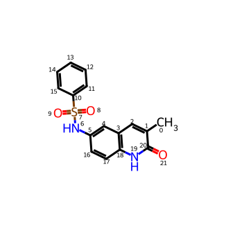 Cc1cc2cc(NS(=O)(=O)c3ccccc3)ccc2[nH]c1=O